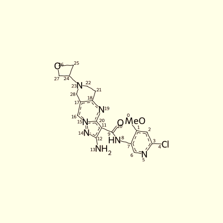 COc1cc(Cl)ncc1NC(=O)c1c(N)nn2cc3c(nc12)CCN(C1COC1)C3